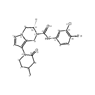 CC1CCN(c2cnn3c2CN(C(=O)Nc2ccc(F)c(Cl)c2)[C@@H](C)C3)C(=O)C1